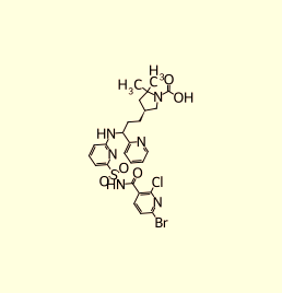 CC1(C)C[C@H](CCC(Nc2cccc(S(=O)(=O)NC(=O)c3ccc(Br)nc3Cl)n2)c2ccccn2)CN1C(=O)O